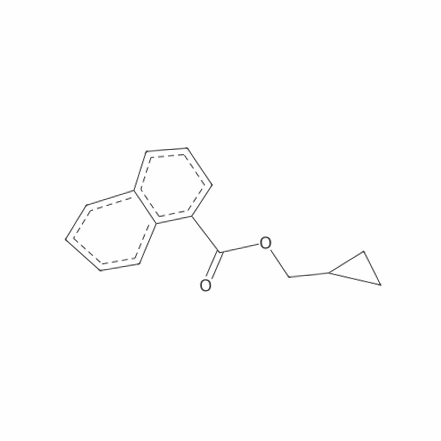 O=C(OCC1CC1)c1cccc2ccccc12